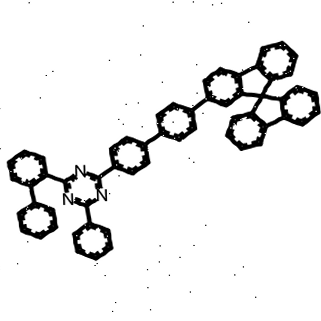 c1ccc(-c2nc(-c3ccc(-c4ccc(-c5ccc6c(c5)C5(c7ccccc7-c7ccccc75)c5ccccc5-6)cc4)cc3)nc(-c3ccccc3-c3ccccc3)n2)cc1